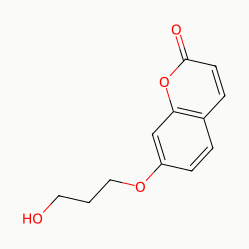 O=c1ccc2ccc(OCCCO)cc2o1